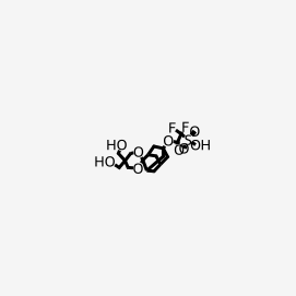 O=C(OC12CC3CC(C1)C1(OCC(CO)(CO)CO1)C(C3)C2)C(F)(F)S(=O)(=O)O